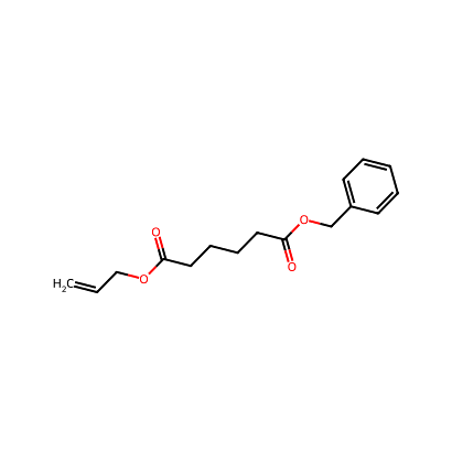 C=CCOC(=O)CCCCC(=O)OCc1ccccc1